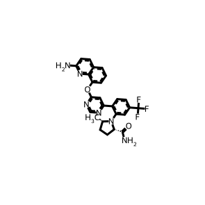 C[C@H]1CC[C@@H](C(N)=O)N1c1cc(C(F)(F)F)ccc1-c1cc(Oc2cccc3ccc(N)nc23)ncn1